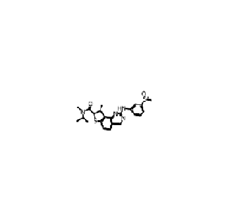 CC(C)N(C)C(=O)C1Sc2ccc3cnc(Nc4cccc([S+](C)[O-])c4)nc3c2[C@@H]1C